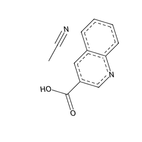 CC#N.O=C(O)c1cnc2ccccc2c1